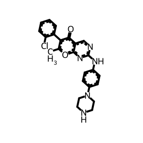 Cc1oc2nc(Nc3ccc(N4CCNCC4)cc3)ncc2c(=O)c1-c1ccccc1Cl